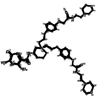 NC1=C(Cl)N=C(C(=O)N[C@H]2CCC[N+](CCCc3ccc(OCC(=O)NCCN4CCOCC4)cc3)(CCCc3ccc(OCC(=O)NCCN4CCOCC4)cc3)C2)C(N)N1